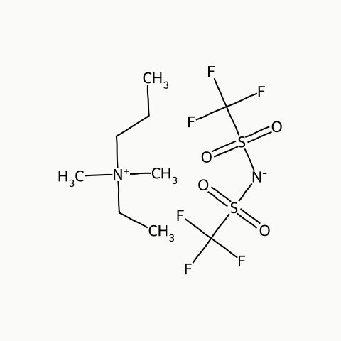 CCC[N+](C)(C)CC.O=S(=O)([N-]S(=O)(=O)C(F)(F)F)C(F)(F)F